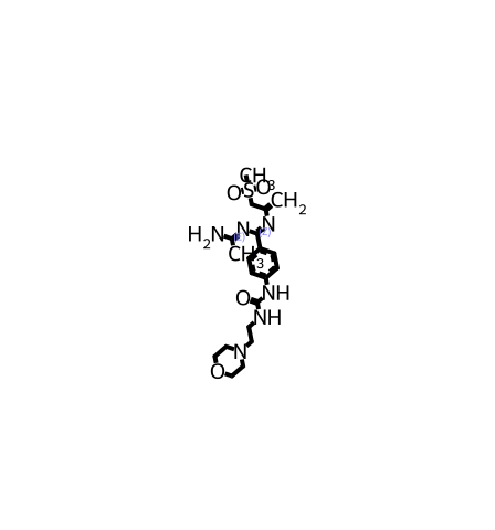 C=C(CS(C)(=O)=O)/N=C(\N=C(/C)N)c1ccc(NC(=O)NCCN2CCOCC2)cc1